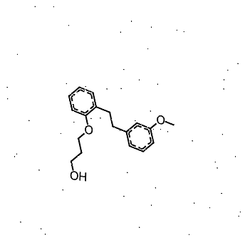 COc1cccc(CCc2ccccc2OCCCO)c1